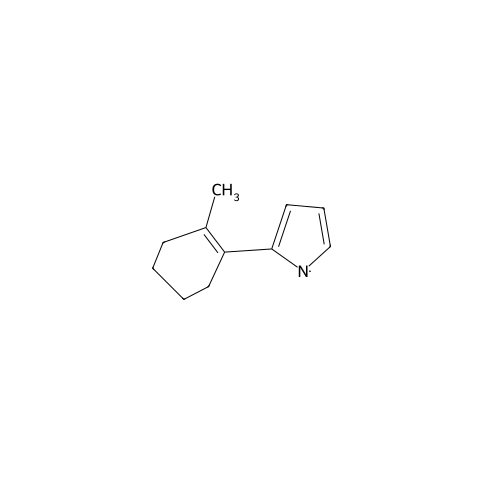 CC1=C(C2=CC=C[N]2)CCCC1